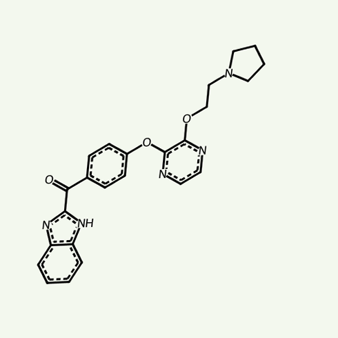 O=C(c1ccc(Oc2nccnc2OCCN2CCCC2)cc1)c1nc2ccccc2[nH]1